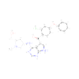 CC(=O)N1C[C@H](Nc2ncnc3[nH]cc(C(=O)c4ccc(Oc5ccccc5)cc4Cl)c23)C[C@H]1CO